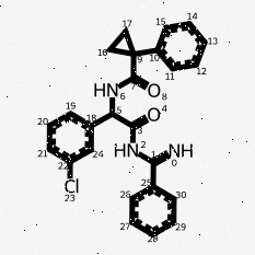 N=C(NC(=O)C(NC(=O)C1(c2ccccc2)CC1)c1cccc(Cl)c1)c1ccccc1